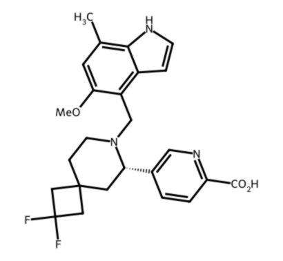 COc1cc(C)c2[nH]ccc2c1CN1CCC2(C[C@H]1c1ccc(C(=O)O)nc1)CC(F)(F)C2